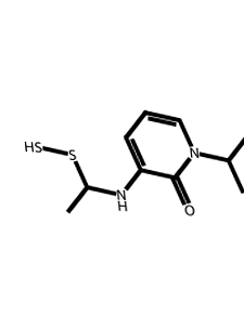 CC(Nc1cccn(C(C)C)c1=O)SS